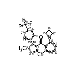 Cn1ncc(C(=O)c2c(Cl)ncnc2N2CCC2)c1-c1ccc(C(F)(F)F)cn1